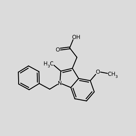 COc1cccc2c1c(CC(=O)O)c(C)n2Cc1ccccc1